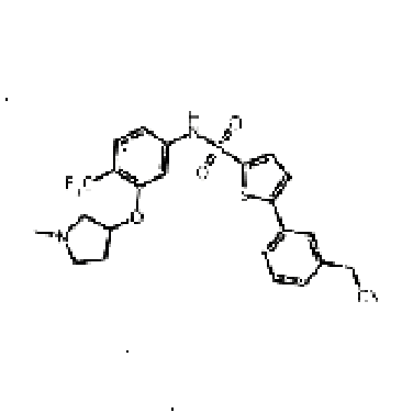 CN1CCC(Oc2cc(NS(=O)(=O)c3ccc(-c4cccc(CC#N)c4)s3)ccc2C(F)(F)F)C1